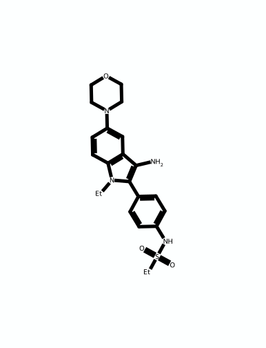 CCn1c(-c2ccc(NS(=O)(=O)CC)cc2)c(N)c2cc(N3CCOCC3)ccc21